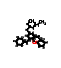 CCCCC(CC)Cc1cc(Cc2ccccc2)c(O)c(Cc2ccccc2)c1